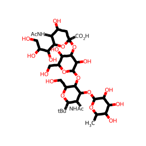 CC(=O)NC1C(O)CC(OC2C(O)C(CO)OC(OC3C(CO)OC(C(C)(C)C)C(NC(C)=O)C3OC3OC(C)C(O)C(O)C3O)C2O)(C(=O)O)OC1C(O)C(O)CO